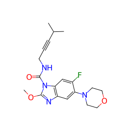 COc1nc2cc(N3CCOCC3)c(F)cc2n1C(=O)NCC#CC(C)C